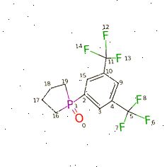 O=P1(c2cc(C(F)(F)F)cc(C(F)(F)F)c2)CCCC1